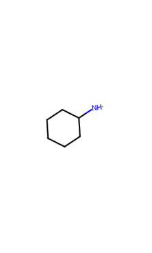 [NH]C1CCCCC1